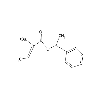 CC=C(C(=O)OC(C)c1ccccc1)C(C)(C)C